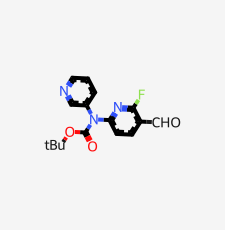 CC(C)(C)OC(=O)N(c1cccnc1)c1ccc(C=O)c(F)n1